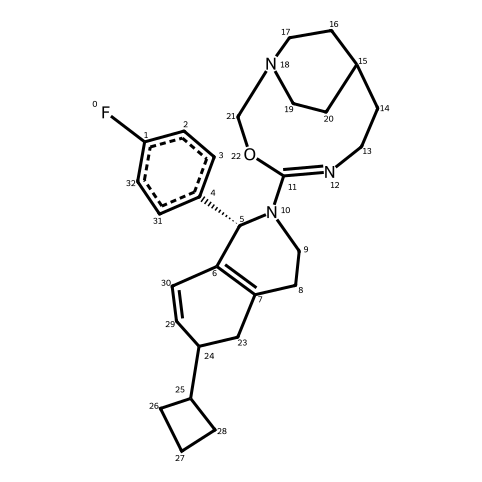 Fc1ccc([C@H]2C3=C(CCN2/C2=N/CCC4CCN(CC4)CO2)CC(C2CCC2)C=C3)cc1